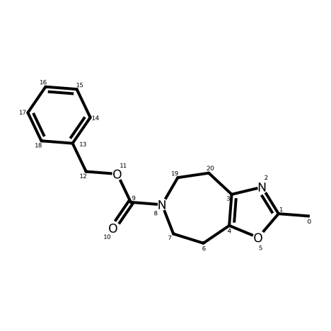 Cc1nc2c(o1)CCN(C(=O)OCc1ccccc1)CC2